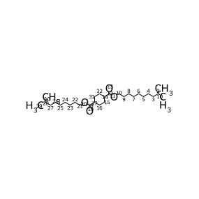 CC(C)CCCCCCCCOC(=O)C1CCC(C(=O)OCCCCCCCC(C)C)CC1